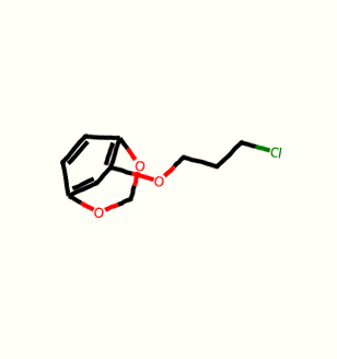 ClCCCOc1cc2ccc1OCO2